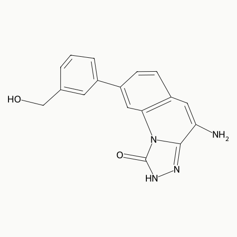 Nc1cc2ccc(-c3cccc(CO)c3)cc2n2c(=O)[nH]nc12